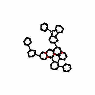 c1ccc(-c2cccc(-c3ccc(N(c4cccc(-c5ccc6c(c5)c5ccccc5n6-c5ccccc5)c4)c4cccc(-c5ccccc5)c4-c4ccccc4-c4ccccc4)cc3)c2)cc1